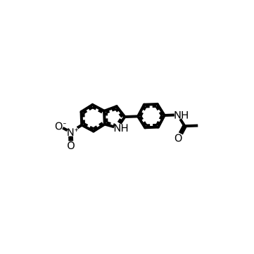 CC(=O)Nc1ccc(-c2cc3ccc([N+](=O)[O-])cc3[nH]2)cc1